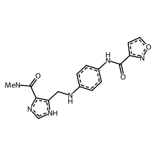 CNC(=O)c1nc[nH]c1CNc1ccc(NC(=O)c2ccon2)cc1